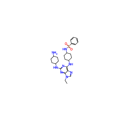 CCn1cnc2c(NC3CCC(NS(=O)(=O)c4ccccc4)CC3)nc(NC3CCC(N)CC3)nc21